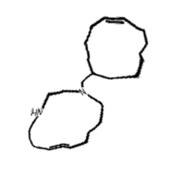 C1=CCCCC(N2CCCC=CCCNCC2)CCCCC1